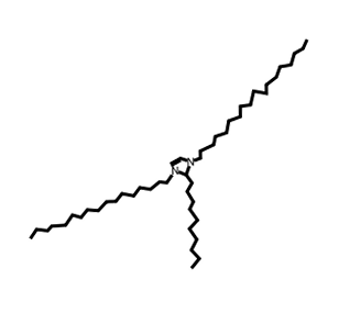 CCCCCCCCCCCCCCCCCCN1C=CN(CCCCCCCCCCCCCCCCC)C1CCCCCCCCCC